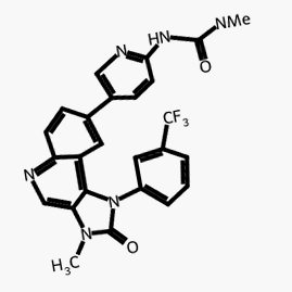 CNC(=O)Nc1ccc(-c2ccc3ncc4c(c3c2)n(-c2cccc(C(F)(F)F)c2)c(=O)n4C)cn1